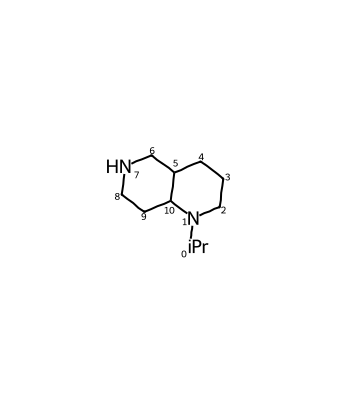 CC(C)N1CCCC2CNCCC21